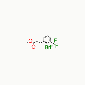 COC(=O)CCc1cccc(C(F)(F)F)c1Br